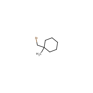 [CH2]C1(CBr)CCCCC1